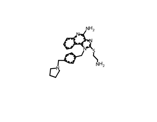 NCCSc1nc2c(N)nc3ccccc3c2n1Cc1ccc(CN2CCCC2)cc1